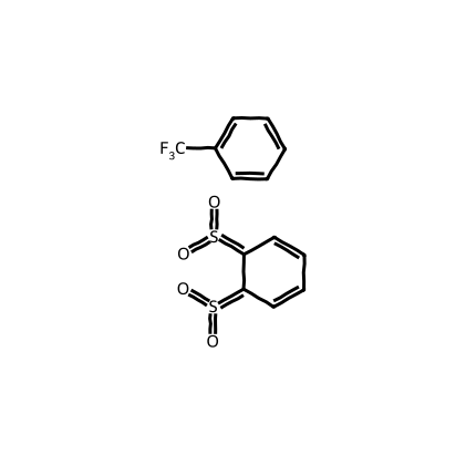 FC(F)(F)c1ccccc1.O=S(=O)=C1C=CC=CC1=S(=O)=O